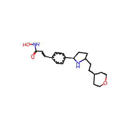 O=C(/C=C/c1ccc(C2CCC(CCC3CCOCC3)N2)cc1)NO